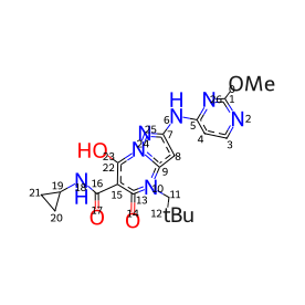 COc1nccc(Nc2cc3n(CC(C)(C)C)c(=O)c(C(=O)NC4CC4)c(O)n3n2)n1